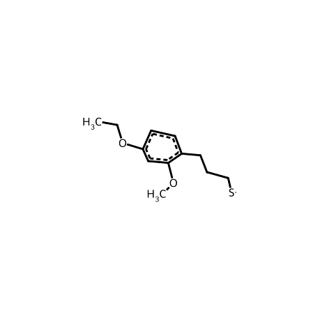 CCOc1ccc(CCC[S])c(OC)c1